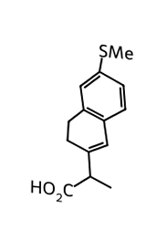 CSc1ccc2c(c1)CCC(C(C)C(=O)O)=C2